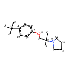 CC(C)(C)c1ccc(OCC(C)(C)N2CCCC2)cc1